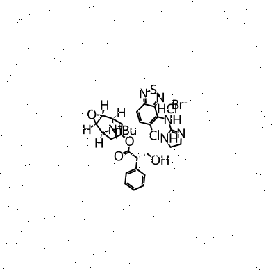 CCCC[N+]1(C)[C@@H]2C[C@@H](OC(=O)[C@H](CO)c3ccccc3)C[C@H]1[C@@H]1O[C@@H]12.Cl.Clc1ccc2nsnc2c1NC1=NCCN1.[Br-]